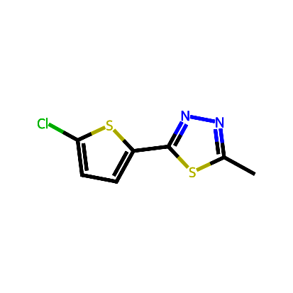 Cc1nnc(-c2ccc(Cl)s2)s1